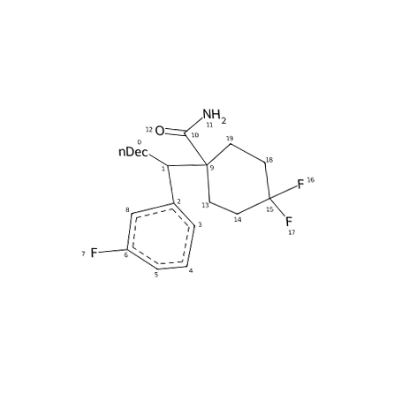 CCCCCCCCCCC(c1cccc(F)c1)C1(C(N)=O)CCC(F)(F)CC1